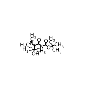 CN(C)[C@H](C(=O)NC(=O)OC(C)(C)C)C(C)(C)O